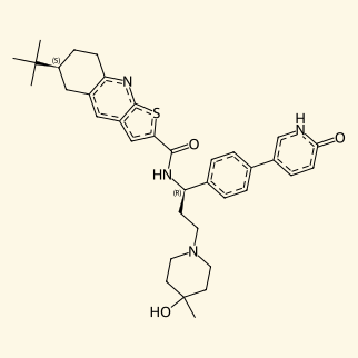 CC1(O)CCN(CC[C@@H](NC(=O)c2cc3cc4c(nc3s2)CC[C@H](C(C)(C)C)C4)c2ccc(-c3ccc(=O)[nH]c3)cc2)CC1